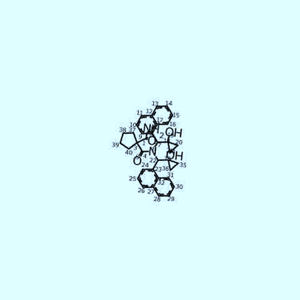 NC(=O)C1(C(=O)N(C(c2cccc3ccccc23)C2(O)CC2)C(c2cccc3ccccc23)C2(O)CC2)CCCC1